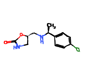 C[C@H](NC[C@@H]1CNC(=O)O1)c1ccc(Cl)cc1